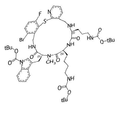 CN1C(=O)[C@H](CCCCNC(=O)OC(C)(C)C)NC(=O)[C@H](CCCNC(=O)OC(C)(C)C)NCc2cccnc2Sc2c(F)ccc(Br)c2CNC(=O)[C@@H]1Cc1cn(C(=O)OC(C)(C)C)c2ccccc12